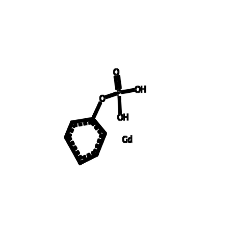 O=P(O)(O)Oc1ccccc1.[Gd]